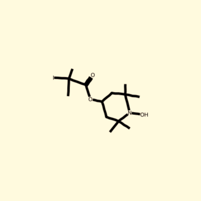 CC(C)(I)C(=O)OC1CC(C)(C)N(O)C(C)(C)C1